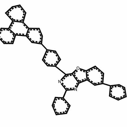 c1ccc(-c2ccc3oc4c(-c5ccc(-c6ccc7c8ccccc8c8ccccc8c7c6)cc5)nc(-c5ccccc5)nc4c3c2)cc1